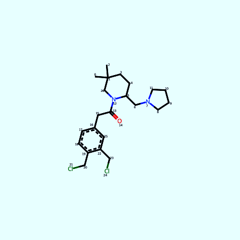 CC1(C)CCC(CN2CCCC2)N(C(=O)Cc2ccc(CCl)c(CCl)c2)C1